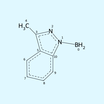 Bn1nc(C)c2ccccc21